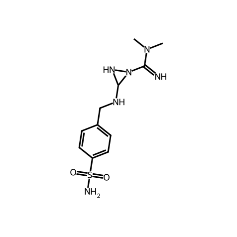 CN(C)C(=N)N1NC1NCc1ccc(S(N)(=O)=O)cc1